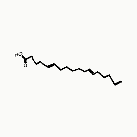 CCCCC/C=C/CCCCC/C=C/CCCC(=O)O